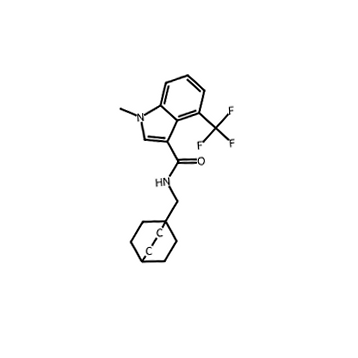 Cn1cc(C(=O)NCC23CCC(CC2)CC3)c2c(C(F)(F)F)cccc21